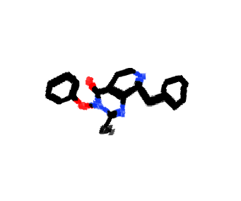 Cc1nc2c(Cc3ccccc3)nccc2c(=O)n1Oc1ccccc1